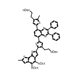 CCCCCCCCCCCCc1cc(-c2ccc(-c3cc(CCCCCCCCCCCC)c(-c4cc5c(CCCCCCCC)c(CCCCCCCC)c6cc(C)sc6c5s4)s3)c3nc(-c4ccccc4)c(-c4ccccc4)nc23)sc1C